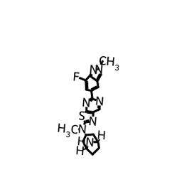 CN(c1nc2cnc(-c3cc(F)c4nn(C)cc4c3)nc2s1)[C@@H]1C[C@H]2CC[C@@H](C1)N2